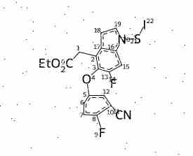 CCOC(=O)Cc1c(Oc2ccc(F)c(C#N)c2)c(F)cc2c1ccn2SI